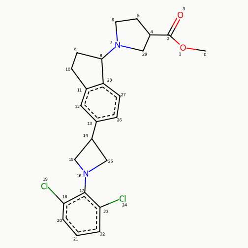 COC(=O)C1CCN(C2CCc3cc(C4CN(c5c(Cl)cccc5Cl)C4)ccc32)C1